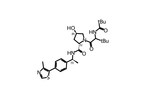 Cc1ncsc1-c1ccc([C@H](C)NC(=O)[C@@H]2C[C@@H](O)CN2C(=O)C(NC(=O)C(C)(C)C)C(C)(C)C)cc1